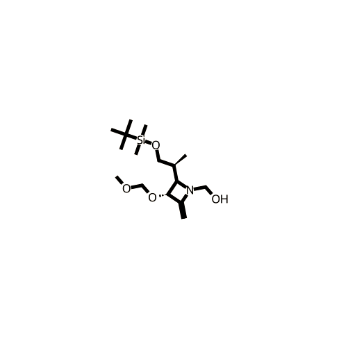 C=C1[C@H](OCOC)C([C@H](C)CO[Si](C)(C)C(C)(C)C)N1CO